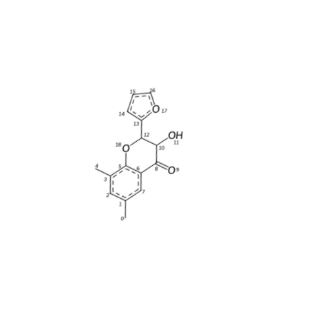 Cc1cc(C)c2c(c1)C(=O)C(O)C(c1ccco1)O2